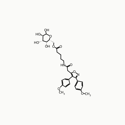 COc1ccc(-c2noc(CC(=O)NCCCCC(=O)OC[C@H]3OC(O)[C@H](O)[C@@H](O)[C@H]3O)c2-c2ccc(OC)cc2)cc1